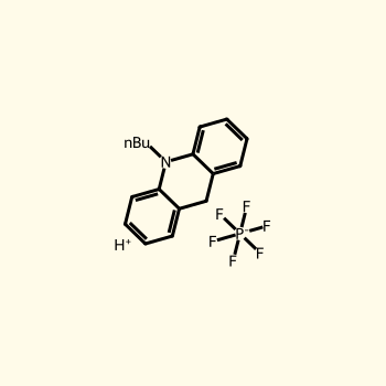 CCCCN1c2ccccc2Cc2ccccc21.F[P-](F)(F)(F)(F)F.[H+]